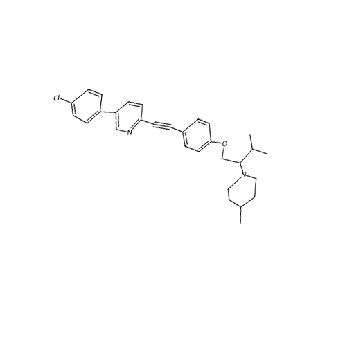 CC1CCN(C(COc2ccc(C#Cc3ccc(-c4ccc(Cl)cc4)cn3)cc2)C(C)C)CC1